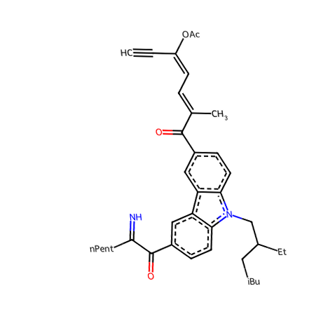 C#C/C(=C\C=C(/C)C(=O)c1ccc2c(c1)c1cc(C(=O)C(=N)CCCCC)ccc1n2CC(CC)CC(C)CC)OC(C)=O